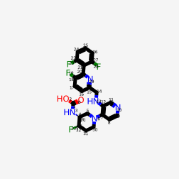 O=C(O)N[C@@H]1CN(c2ccncc2NCc2ccc(F)c(-c3c(F)cccc3F)n2)CC[C@H]1F